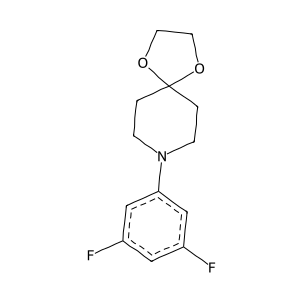 Fc1cc(F)cc(N2CCC3(CC2)OCCO3)c1